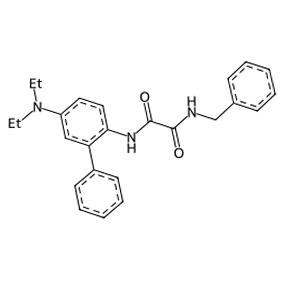 CCN(CC)c1ccc(NC(=O)C(=O)NCc2ccccc2)c(-c2ccccc2)c1